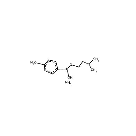 Cc1ccc(B(O)OCCN(C)C)cc1.N